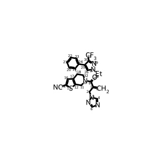 C=C(Cn1cncn1)C(=O)N1Cc2sc(C#N)cc2[C@H](c2ccccc2-c2cn(CC)nc2C(F)(F)F)C1